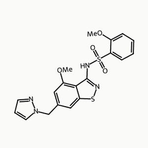 COc1ccccc1S(=O)(=O)Nc1nsc2cc(Cn3cccn3)cc(OC)c12